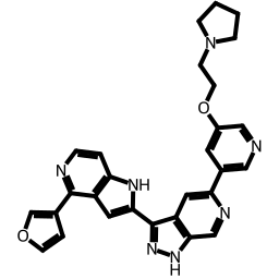 c1cc2[nH]c(-c3n[nH]c4cnc(-c5cncc(OCCN6CCCC6)c5)cc34)cc2c(-c2ccoc2)n1